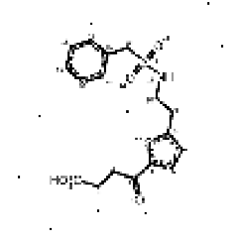 O=C(O)CCC(=O)c1ccc(CCNS(=O)(=O)Cc2ccccc2)s1